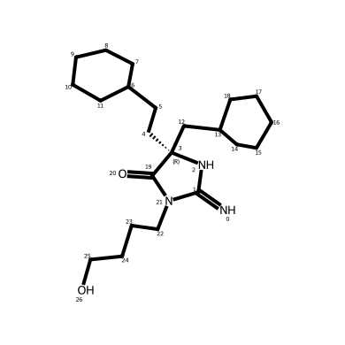 N=C1N[C@](CCC2CCCCC2)(CC2CCCCC2)C(=O)N1CCCCO